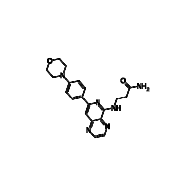 NC(=O)CCNc1nc(-c2ccc(N3CCOCC3)cc2)cc2nccnc12